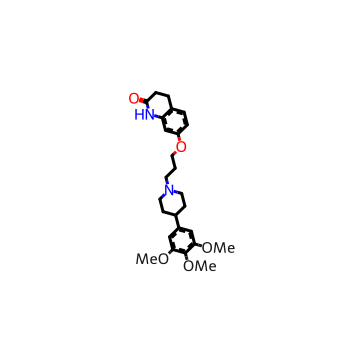 COc1cc(C2CCN(CCCOc3ccc4c(c3)NC(=O)CC4)CC2)cc(OC)c1OC